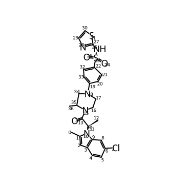 Cc1cc2ccc(Cl)cc2n1[C@H](C)C(=O)N1CCN(c2ccc(S(=O)(=O)Nc3nccs3)cc2)CC1C